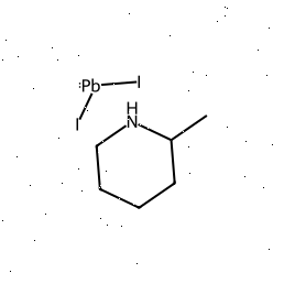 CC1CCCCN1.[I][Pb][I]